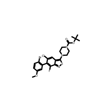 COc1ccc(Br)c(-c2c(Cl)cc3c(N4CCN(C(=O)OC(C)(C)C)CC4)snc3c2F)c1